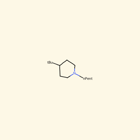 CCCCCN1CCC(C(C)(C)C)CC1